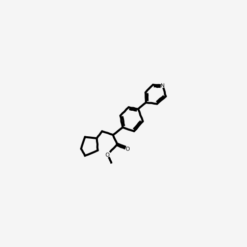 COC(=O)C(CC1CCCC1)c1ccc(-c2ccncc2)cc1